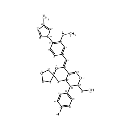 COc1cc(/C=C2\OC3(CCOC3)CN3C2=NOC(CO)C3c2ccc(F)cc2)ccc1-n1cnc(C)c1